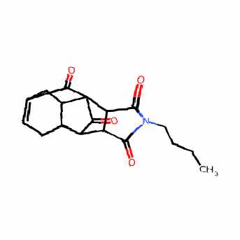 CCCCN1C(=O)C2C3C(=O)C4(C(=O)C5=CCC3C4C5)C2C1=O